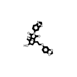 CC12OC(CCOc3ccc4c(c3)OCO4)(CC1O)C1C(=O)N(c3ccc4ncsc4c3)C(=O)[C@H]12